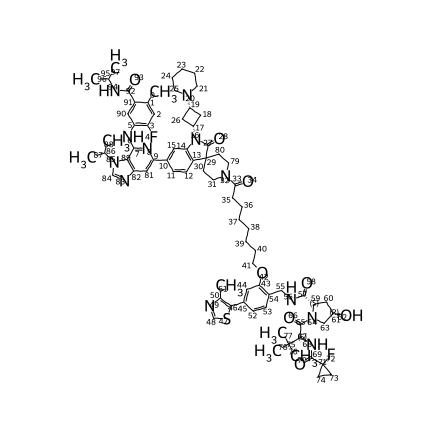 Cc1cc(F)c(Nc2nc(-c3ccc4c(c3)N([C@H]3C[C@@H](N5CCCCC5)C3)C(=O)C43CCN(C(=O)CCCCCCCOc4cc(-c5scnc5C)ccc4CNC(=O)[C@@H]4C[C@@H](O)CN4C(=O)[C@@H](NC(=O)C4(F)CC4)C(C)(C)C)CC3)cc3ncn(C(C)C)c23)cc1C(=O)NC(C)C